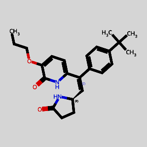 CCCOc1ccc(/C(=C\[C@H]2CCC(=O)N2)c2ccc(C(C)(C)C)cc2)[nH]c1=O